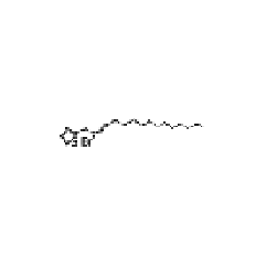 CCCCCCCCCCCCC#CC(Br)Cc1cccs1